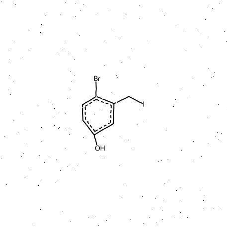 Oc1ccc(Br)c(CI)c1